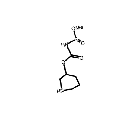 COS(=O)NC(=O)OC1CCCNC1